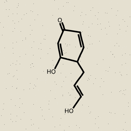 O=C1C=CC(CC=CO)C(O)=C1